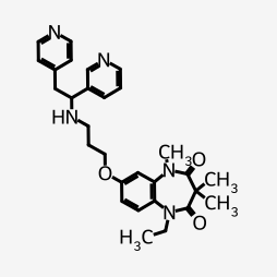 CCN1C(=O)C(C)(C)C(=O)N(C)c2cc(OCCCNC(Cc3ccncc3)c3cccnc3)ccc21